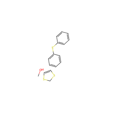 C1=CSCS1.CO.c1ccc(Sc2ccccc2)cc1